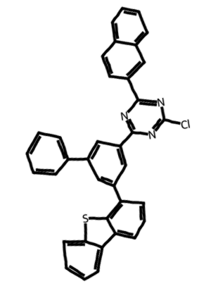 Clc1nc(-c2cc(-c3ccccc3)cc(-c3cccc4c3sc3ccccc34)c2)nc(-c2ccc3ccccc3c2)n1